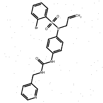 C=CCN(c1ccc(NC(=O)NCc2cccnc2)cc1)S(=O)(=O)c1ccccc1Br